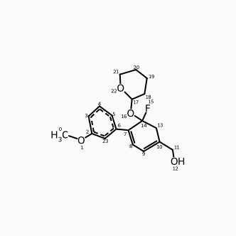 COc1cccc(C2=CC=C(CO)CC2(F)OC2CCCCO2)c1